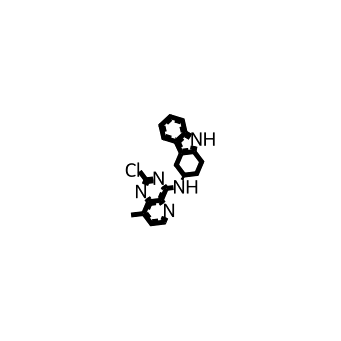 Cc1ccnc2c(N[C@@H]3CCc4[nH]c5ccccc5c4C3)nc(Cl)nc12